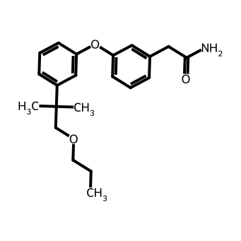 CCCOCC(C)(C)c1cccc(Oc2cccc(CC(N)=O)c2)c1